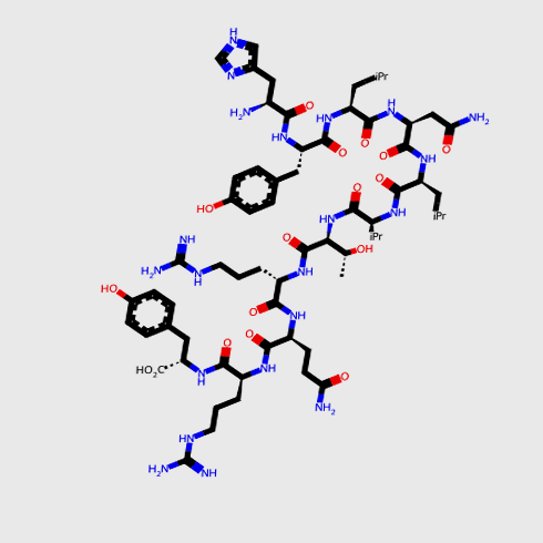 CC(C)C[C@H](NC(=O)[C@H](Cc1ccc(O)cc1)NC(=O)[C@@H](N)Cc1c[nH]cn1)C(=O)N[C@@H](CC(N)=O)C(=O)N[C@@H](CC(C)C)C(=O)N[C@H](C(=O)N[C@H](C(=O)N[C@@H](CCCNC(=N)N)C(=O)N[C@@H](CCC(N)=O)C(=O)N[C@@H](CCCNC(=N)N)C(=O)N[C@@H](Cc1ccc(O)cc1)C(=O)O)[C@@H](C)O)C(C)C